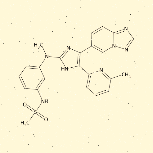 Cc1cccc(-c2[nH]c(N(C)c3cccc(NS(C)(=O)=O)c3)nc2-c2ccc3ncnn3c2)n1